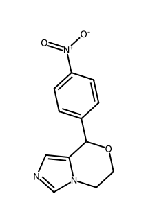 O=[N+]([O-])c1ccc(C2OCCn3cncc32)cc1